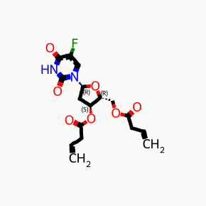 C=CCC(=O)OC[C@H]1O[C@@H](n2cc(F)c(=O)[nH]c2=O)C[C@@H]1OC(=O)CC=C